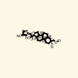 CCOC[C@@]1(O)CC[C@H]2[C@H](CC[C@@H]3[C@@H]2CC[C@@]2(C)[C@H]3CC[C@@H]2[C@](C)(O)Cn2cc(C#N)cn2)C1